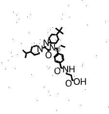 CC[C@H](c1ccc(C(=O)NCCC(=O)O)cc1)N1C(=O)C(N2CCC(C(C)C)CC2)=NC12CCC(C(C)(C)C)CC2